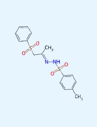 C/C(CS(=O)(=O)c1ccccc1)=N\NS(=O)(=O)c1ccc(C)cc1